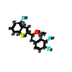 CC(C)OC(Cc1ccc(F)c(F)c1)c1cc2c(F)cccc2s1